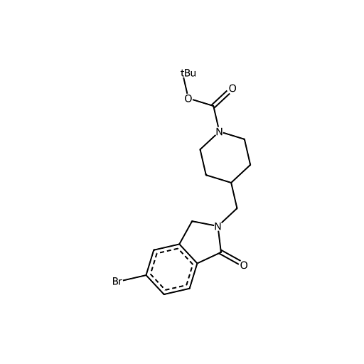 CC(C)(C)OC(=O)N1CCC(CN2Cc3cc(Br)ccc3C2=O)CC1